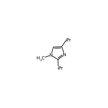 CC(C)c1cn(C)c(C(C)C)n1